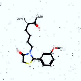 COC(=O)[C@H](CCCCN1C(=O)CSC1c1cccc(OC(F)(F)F)c1)NC(C)=O